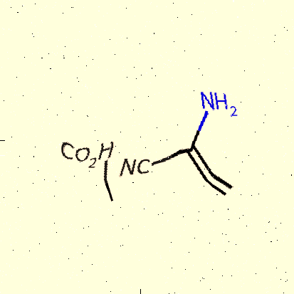 C=C(N)C#N.CC(=O)O